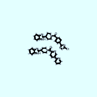 CCc1nc(-c2ccc(C(=O)N3CCC(c4nc5ccccc5[nH]4)CC3)cc2)no1.O=C(c1ccc(-c2ccccn2)cn1)N1CCC(c2nc3ccccc3[nH]2)CC1